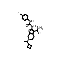 CC(C1CCC1)N1CCc2c(sc(NC(=O)Nc3ccc(Cl)cc3)c2C(N)=O)C1